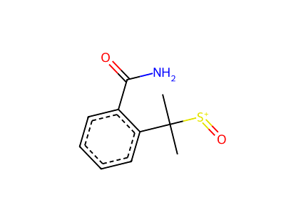 CC(C)([S+]=O)c1ccccc1C(N)=O